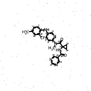 Cc1ccc(Nc2ccc(N(C)C(=O)C3(NC(=O)c4cncnc4)CC3)nc2)c(C(F)(F)F)c1